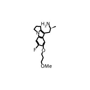 COCCCOc1cc2c(C[C@H](C)N)c3n(c2cc1F)CCC3